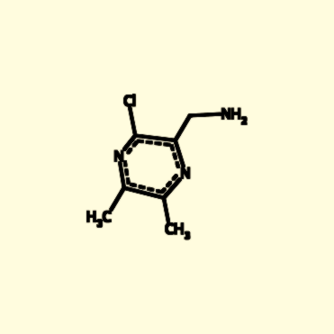 Cc1nc(Cl)c(CN)nc1C